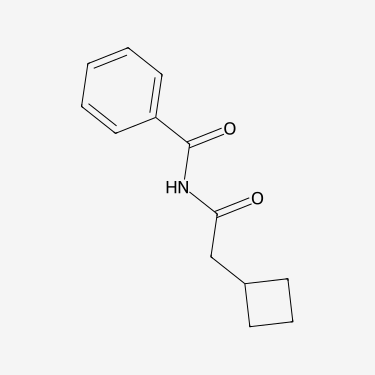 O=C(CC1CCC1)NC(=O)c1ccccc1